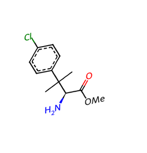 COC(=O)[C@@H](N)C(C)(C)c1ccc(Cl)cc1